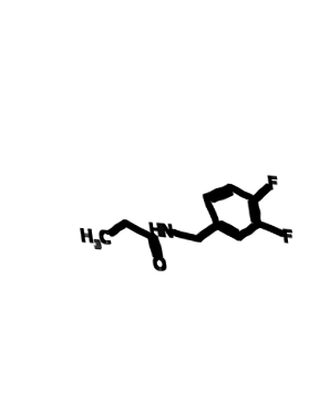 CCC(=O)NCc1ccc(F)c(F)c1